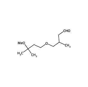 COC(C)(C)CCOCC(C)CC=O